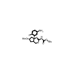 CO[C@@H]1CC2CSC(NC(=O)OC(C)(C)C)=N[C@@]2(c2cc(N)ccc2F)C1